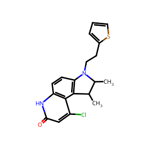 CC1c2c(ccc3[nH]c(=O)cc(Cl)c23)N(CCc2cccs2)C1C